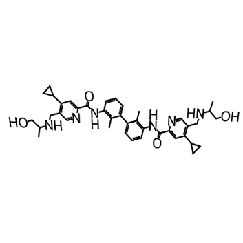 Cc1c(NC(=O)c2cc(C3CC3)c(CNC(C)CO)cn2)cccc1-c1cccc(NC(=O)c2cc(C3CC3)c(CNC(C)CO)cn2)c1C